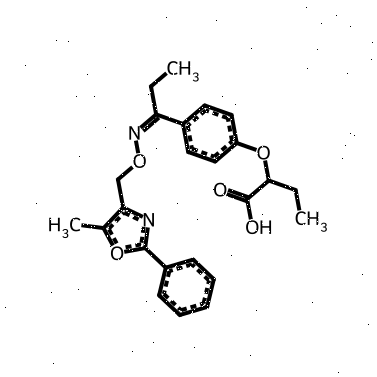 CC/C(=N/OCc1nc(-c2ccccc2)oc1C)c1ccc(OC(CC)C(=O)O)cc1